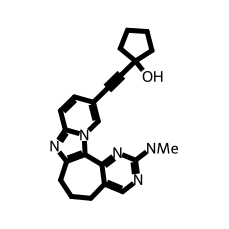 CNc1ncc2c(n1)-c1c(nc3ccc(C#CC4(O)CCCC4)cn13)CCC2